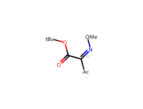 CO/N=C(/C(C)=O)C(=O)OC(C)(C)C